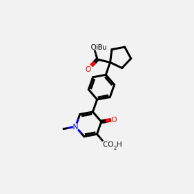 CC(C)COC(=O)C1(c2ccc(-c3cn(C)cc(C(=O)O)c3=O)cc2)CCCC1